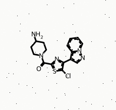 NC1CCN(C(=O)c2nc(-c3cnn4ccccc34)c(Cl)s2)CC1